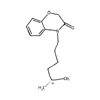 C[C@@H](O)CCCCN1C(=O)COc2ccccc21